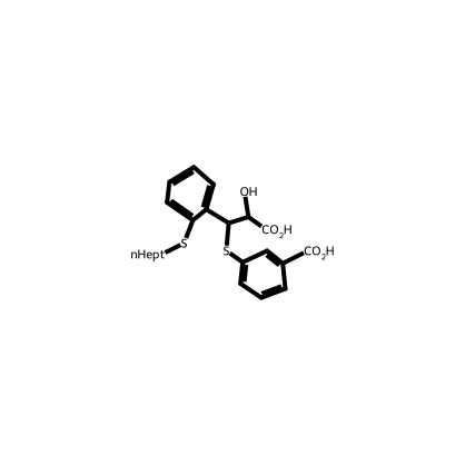 CCCCCCCSc1ccccc1C(Sc1cccc(C(=O)O)c1)C(O)C(=O)O